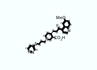 COc1ccc2nccc(C(F)CC[C@@H]3CCN(CCCSc4ccnnc4)C[C@@H]3C(=O)O)c2c1